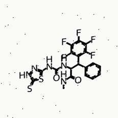 CNC(=O)C(NC(=O)Nc1n[nH]c(=S)s1)C(c1ccccc1)c1c(F)c(F)c(F)c(F)c1F